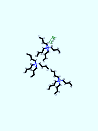 CCCC[N+](CCCC)(CCCC)CCCC.CCCC[N+](CCCC)(CCCC)CCCC.CCCC[N+](CCCC)(CCCC)CCCC.[Br-].[Cl-].[Cl-]